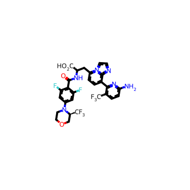 Nc1ccc(C(F)(F)F)c(-c2ccc(CC(NC(=O)c3c(F)cc(N4CCOC[C@@H]4C(F)(F)F)cc3F)C(=O)O)n3ccnc23)n1